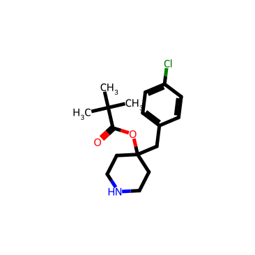 CC(C)(C)C(=O)OC1(Cc2ccc(Cl)cc2)CCNCC1